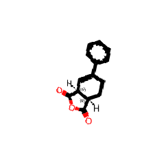 O=C1OC(=O)[C@@H]2CCC(c3ccccc3)=C[C@H]12